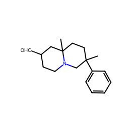 CC1(c2ccccc2)CCC2(C)CC(C=O)CCN2C1